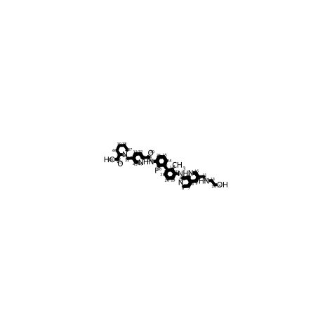 Cc1c(Nc2nccc3cc(CNCCO)cnc23)cccc1-c1cccc(NC(=O)c2ccc(CN3CCCCC3C(=O)O)cn2)c1F